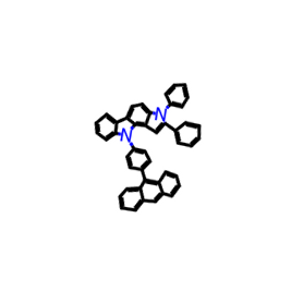 c1ccc(-c2cc3c(ccc4c5ccccc5n(-c5ccc(-c6c7ccccc7cc7ccccc67)cc5)c43)n2-c2ccccc2)cc1